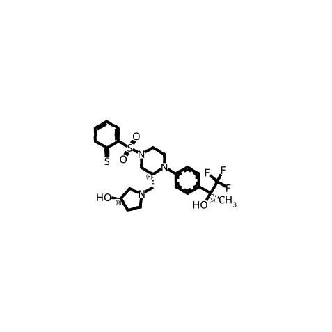 C[C@](O)(c1ccc(N2CCN(S(=O)(=O)C3=CC=CCC3=S)C[C@H]2CN2CC[C@@H](O)C2)cc1)C(F)(F)F